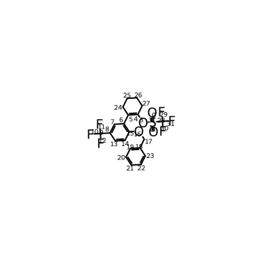 O=S(=O)(OC1=C(c2cc(C(F)(F)F)ccc2OCc2ccccc2)CCCC1)C(F)(F)F